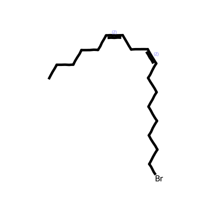 CCCCC/C=C\C/C=C\CCCCCCCBr